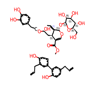 C/C=C1/[C@H](O[C@@H]2O[C@H](CO)[C@@H](O)[C@H](O)[C@H]2O)OC=C(C(=O)OC)[C@H]1CC(O)OCCc1ccc(O)c(O)c1.C=CCc1ccc(O)c(-c2ccc(O)c(CC=C)c2)c1